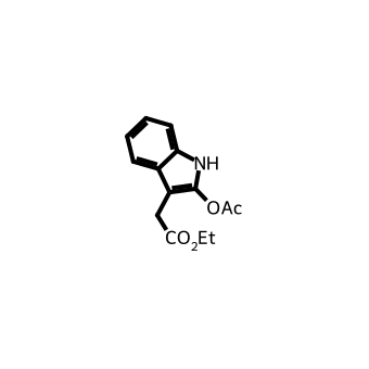 CCOC(=O)Cc1c(OC(C)=O)[nH]c2ccccc12